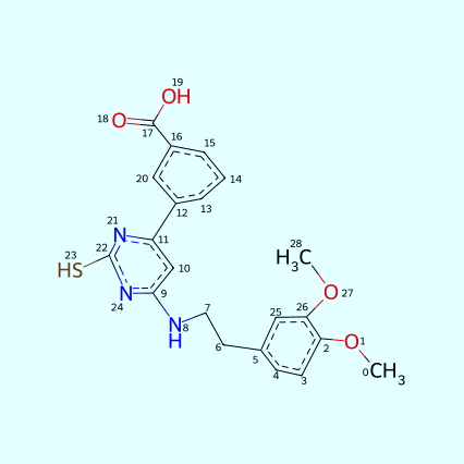 COc1ccc(CCNc2cc(-c3cccc(C(=O)O)c3)nc(S)n2)cc1OC